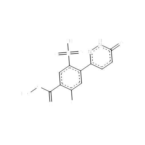 COC(=O)c1cc(S(C)(=O)=O)c(-c2ccc(=O)[nH]n2)cc1Cl